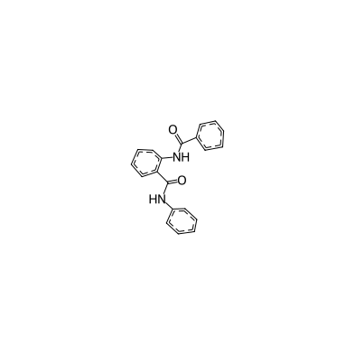 O=C(Nc1ccccc1C(=O)Nc1ccccc1)c1ccccc1